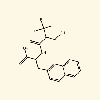 O=C(O)C(Cc1ccc2ccccc2c1)NC(=O)C(CS)C(F)(F)F